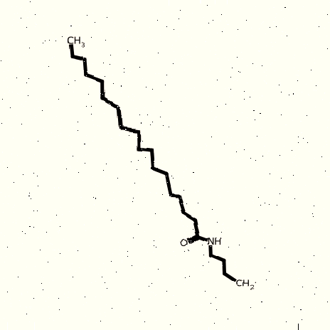 [CH2]CCCNC(=O)CCCCCCCCCCCCCCCCC